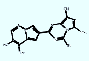 Cc1cc(C#N)c2nc(-c3cc4c(C(C)C)c(C#N)cnn4c3)nc(C(C)C)n12